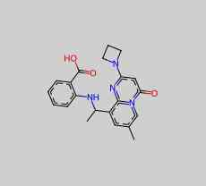 Cc1cc(C(C)Nc2ccccc2C(=O)O)c2nc(N3CCC3)cc(=O)n2c1